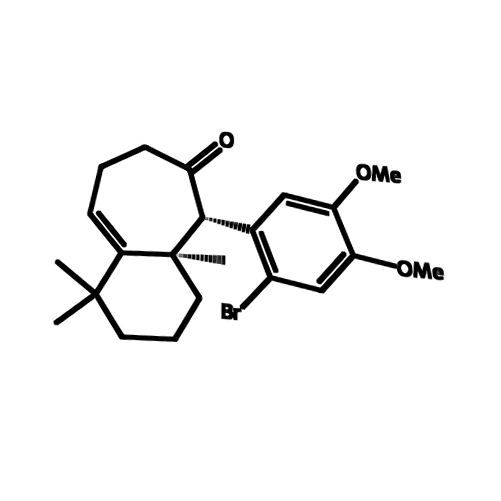 COc1cc(Br)c([C@H]2C(=O)CCC=C3C(C)(C)CCC[C@@]32C)cc1OC